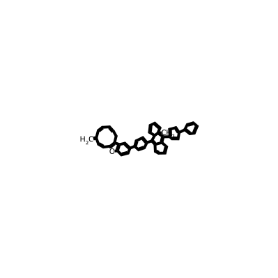 C=C1/C=C\C=C/Cc2c(oc3ccc(-c4ccc(C5=c6ccccc6=C(c6ccc(-c7ccccc7)cc6)C6(C)C=CC=CC56)cc4)cc23)/C=C\1